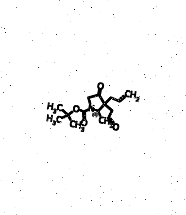 C=CCC1(CC=O)C(=O)CN(C(=O)OC(C)(C)C)[C@@H]1C